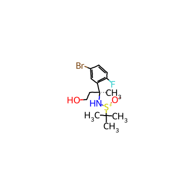 CC(C)(C)[S+]([O-])N[C@@](C)(CCO)c1cc(Br)ccc1F